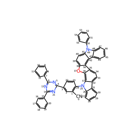 N#Cc1cc(-c2nc(-c3ccccc3)nc(-c3ccccc3)n2)ccc1-n1c2ccccc2c2ccc3c(oc4ccc5c(c6ccccc6n5-c5ccccc5)c43)c21